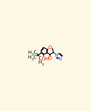 CC(C)(C)c1ccc2c(c1O)C(=O)C(n1ccnc1)CO2